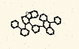 c1ccc(-c2ccccc2-c2ccc3oc4ccccc4c3c2-c2cccc(-c3c4ccccc4c(-c4ccccc4)c4ccccc34)c2)cc1